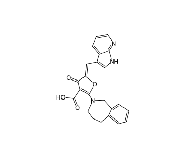 O=C(O)C1=C(N2CCCc3ccccc3C2)OC(=Cc2c[nH]c3ncccc23)C1=O